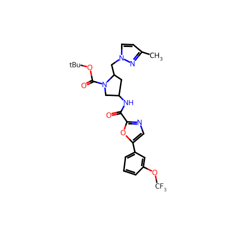 Cc1ccn(CC2CC(NC(=O)c3ncc(-c4cccc(OC(F)(F)F)c4)o3)CN2C(=O)OC(C)(C)C)n1